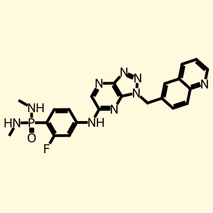 CNP(=O)(NC)c1ccc(Nc2cnc3nnn(Cc4ccc5ncccc5c4)c3n2)cc1F